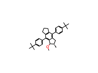 COC1c2c(c(-c3ccc(C(C)(C)C)cc3)c3c(c2-c2ccc(C(C)(C)C)cc2)CCC3)C[C@H]1C